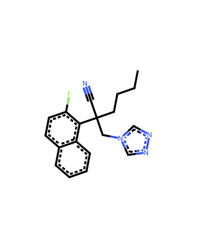 CCCCC(C#N)(Cn1cnnc1)c1c(F)ccc2ccccc12